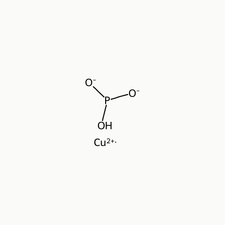 [Cu+2].[O-]P([O-])O